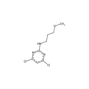 COCCCNc1nc(Cl)cc(Cl)n1